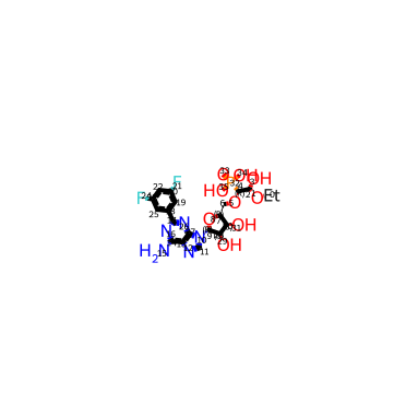 CCOC(O)[C@H](OC[C@H]1O[C@@H](n2cnc3c(N)nc(-c4cc(F)cc(F)c4)nc32)[C@H](O)[C@@H]1O)P(=O)(O)O